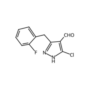 O=Cc1c(Cc2ccccc2F)n[nH]c1Cl